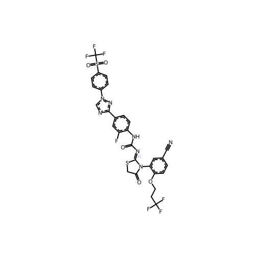 N#Cc1ccc(OCCC(F)(F)F)c(N2C(=O)CS/C2=N\C(=O)Nc2ccc(-c3ncn(-c4ccc(S(=O)(=O)C(F)(F)F)cc4)n3)cc2F)c1